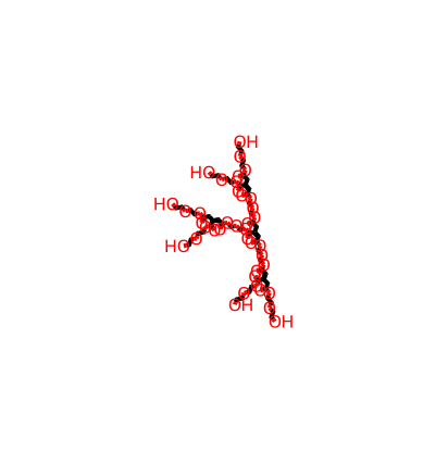 O=C(/C=C(/CC(=O)OCCOCCO)C(=O)OCCOCCO)OCOCOC(=O)/C=C(/CC(=O)OCOCOC(=O)/C=C(/CC(=O)OCCOCCO)C(=O)OCCOCCO)C(=O)OCOCOC(=O)/C=C(/CC(=O)OCCOCCO)C(=O)OCCOCCO